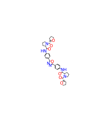 O=C(Nc1ccc(-c2nnc(-c3ccc(NC(=O)C4CCCN4C(=O)[C@@H]4CCCO4)cc3)o2)cc1)C1CCCN1C(=O)[C@@H]1CCCO1